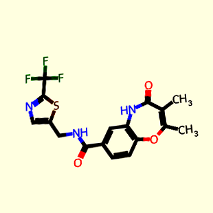 CC1=C(C)C(=O)Nc2cc(C(=O)NCc3cnc(C(F)(F)F)s3)ccc2O1